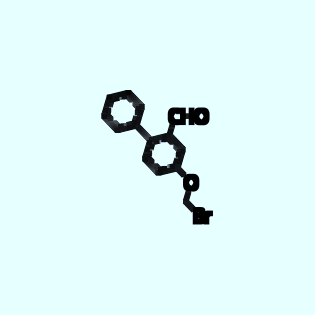 O=Cc1cc(OCBr)ccc1-c1ccccc1